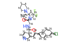 N#CC1(N2CCCCC2)CC(F)(F)CN1C(=O)CNC(=O)c1ccncc1/C=C/c1ccc2cc(Cl)ccc2c1